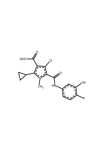 Cn1c(C(=O)Nc2ccc(F)c(C#N)c2)c(Cl)c(C(=O)C=O)c1C1CC1